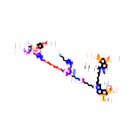 CC[N+]1=C(/C=C/C=C/C=C2/N(CCCCCC(=O)NCCCC[C@H](NC(=O)Cn3cc(CCCF)nn3)C(=O)NCCOCCOCCOCCn3cc(CN([C@@H](C(=O)NO)C(C)C)S(=O)(=O)c4ccc(OC)cc4)nn3)c3ccc4c(S(=O)(=O)O)cc(S(=O)(=O)O)cc4c3C2(C)C)C(C)(C)c2c1ccc1c(S(=O)(=O)O)cc(S(=O)(=O)O)cc21